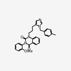 COc1ccccc1-n1c(=O)c2ccccc2n(CCCc2cncn2Cc2ccc(C)cc2)c1=O